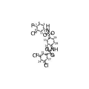 O=S(=O)(Nc1ccc(F)c(Cl)c1)c1ccc(NS(=O)(=O)c2cc(Cl)cc(Cl)c2)cc1